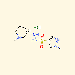 CN1CCC[C@H](NNS(=O)(=O)c2cnn(C)c2)C1.Cl